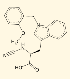 COc1ccccc1Cn1cc(C[C@H](NC#N)C(=O)O)c2ccccc21